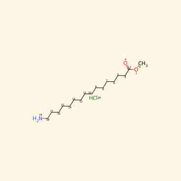 COC(=O)CCCCCCCCCCCCCCCN.Cl